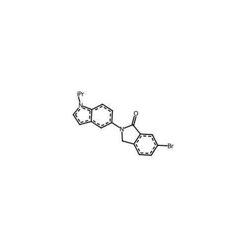 CC(C)n1ccc2cc(N3Cc4ccc(Br)cc4C3=O)ccc21